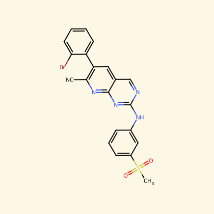 CS(=O)(=O)c1cccc(Nc2ncc3cc(-c4ccccc4Br)c(C#N)nc3n2)c1